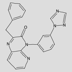 O=c1c(Cc2ccccc2)nc2cccnc2n1-c1cccc(-n2cncn2)c1